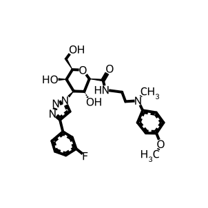 COc1ccc(N(C)CCNC(=O)[C@@H]2O[C@H](CO)[C@H](O)[C@H](n3cc(-c4cccc(F)c4)nn3)[C@H]2O)cc1